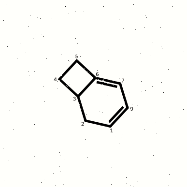 C1=CCC2CCC2=C1